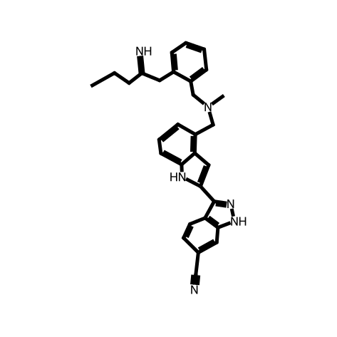 CCCC(=N)Cc1ccccc1CN(C)Cc1cccc2[nH]c(-c3n[nH]c4cc(C#N)ccc34)cc12